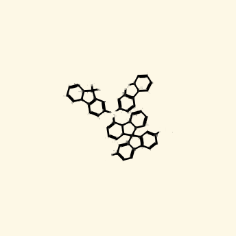 Cc1ccc2c(c1)C1(c3cc(C)ccc3-2)C2C=CC=CC2C2C(N(c3ccc4c(c3)OC3C=CC=CC43)c3ccc4c(c3)C(C)(C)C3C=CC=CC43)=CC=CC21